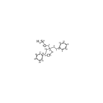 [SiH3]OCC(CCl)(CCc1ccccc1)CCc1ccccc1